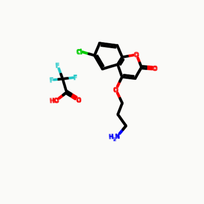 NCCCOc1cc(=O)oc2ccc(Cl)cc12.O=C(O)C(F)(F)F